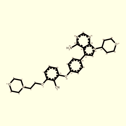 N#Cc1c(OCCN2CCOCC2)cccc1Oc1ccc(-c2cn(C3CCOCC3)c3ncnc(N)c23)cc1